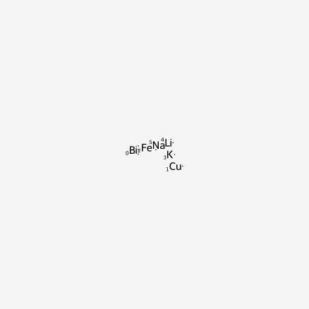 [Bi].[Cu].[Fe].[K].[Li].[Na]